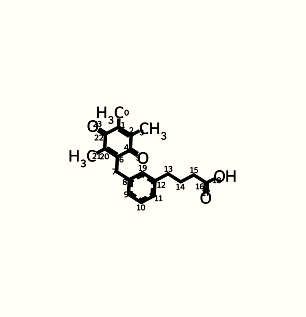 CC1=C(C)C(=O)C(Cc2cccc(CCCC(=O)O)c2)=C(C)C1=O